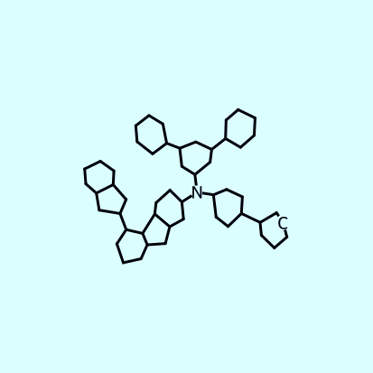 C1CCC(C2CCC(N(C3CC(C4CCCCC4)CC(C4CCCCC4)C3)C3CCC4C(CC5CCCC(C6CC7CCCCC7C6)C54)C3)CC2)CC1